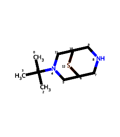 CC(C)(C)N1CC2CNCC(C1)S2